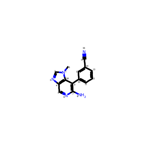 Cn1cnc2cnc(N)c(-c3cccc(C#N)c3)c21